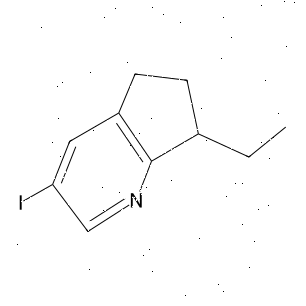 CCC1CCc2cc(I)cnc21